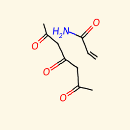 C=CC(N)=O.CC(=O)CC(=O)CC(C)=O